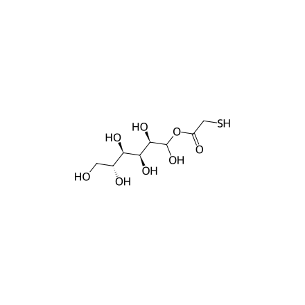 O=C(CS)OC(O)[C@H](O)[C@@H](O)[C@H](O)[C@H](O)CO